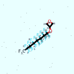 FC(F)(F)C(F)(F)C(F)(F)C(F)(F)C(F)(F)C(F)(F)C(F)(F)C(F)(F)OC1COC1